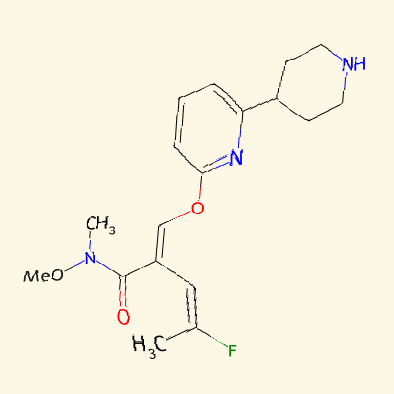 CON(C)C(=O)C(/C=C(\C)F)=C/Oc1cccc(C2CCNCC2)n1